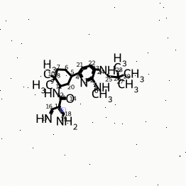 CNc1nc(C2CCC(C)(C)C(NC(=O)/C(C=N)=C/N)C2)ccc1NCC(C)(C)C